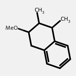 COC1Cc2ccccc2C(C)C1C